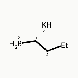 BCCCC.[KH]